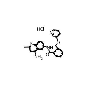 Cc1cc(N)c2cc(NC(=O)c3ccccc3COc3cccnc3)ccc2n1.Cl